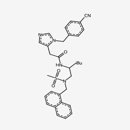 CCC(C)C(CN(Cc1cccc2ccccc12)S(C)(=O)=O)NC(=O)Cc1cncn1Cc1ccc(C#N)cc1